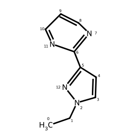 CCn1ccc(-c2ncccn2)n1